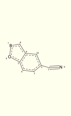 N#Cc1ccc2obcc2c1